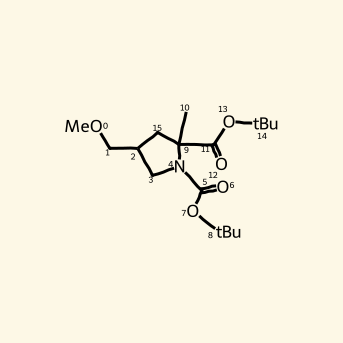 COCC1CN(C(=O)OC(C)(C)C)C(C)(C(=O)OC(C)(C)C)C1